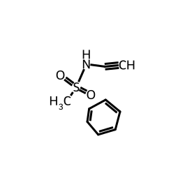 C#CNS(C)(=O)=O.c1ccccc1